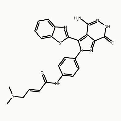 CN(C)C/C=C/C(=O)Nc1ccc(-n2nc3c(=O)[nH]nc(N)c3c2-c2nc3ccccc3s2)cc1